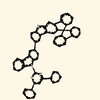 c1ccc(-c2cc(-c3ccccc3)nc(-n3c4ccccc4c4cc(-c5ccc6sc7cc8c(cc7c6c5)C5(c6ccccc6-c6ccccc65)c5ccccc5-8)ccc43)n2)cc1